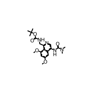 COc1cc(OC)c2c(CNC(=O)OC(C)(C)C)ncc(NC(=O)N(C)C)c2c1